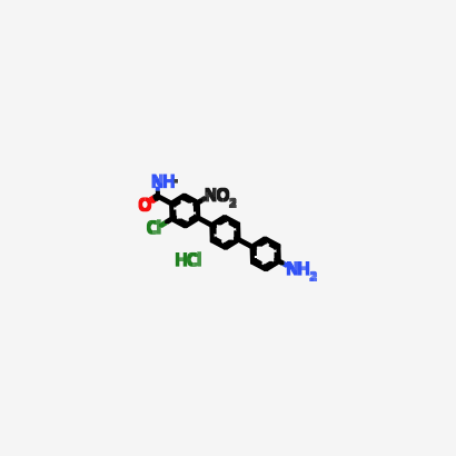 Cl.[NH]C(=O)c1cc([N+](=O)[O-])c(-c2ccc(-c3ccc(N)cc3)cc2)cc1Cl